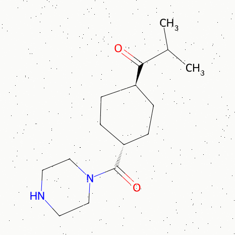 CC(C)C(=O)[C@H]1CC[C@H](C(=O)N2CCNCC2)CC1